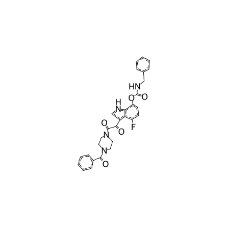 O=C(NCc1ccccc1)Oc1ccc(F)c2c(C(=O)C(=O)N3CCN(C(=O)c4ccccc4)CC3)c[nH]c12